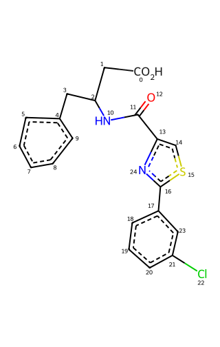 O=C(O)CC(Cc1ccccc1)NC(=O)c1csc(-c2cccc(Cl)c2)n1